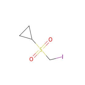 O=S(=O)(CI)C1CC1